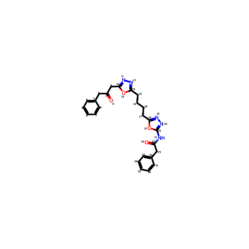 O=C(Cc1ccccc1)Cc1nnc(CCCCc2nnc(NC(=O)Cc3ccccc3)o2)o1